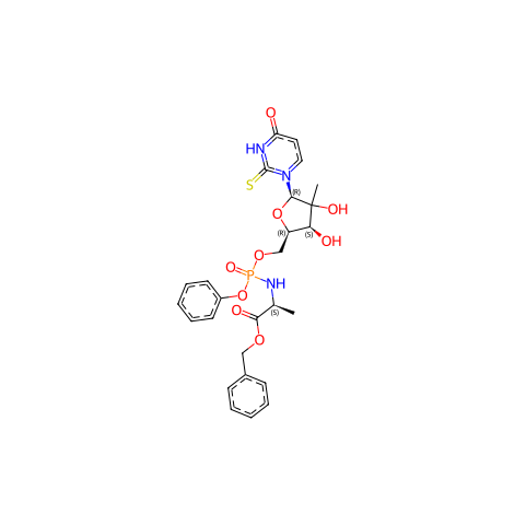 C[C@H](NP(=O)(OC[C@H]1O[C@@H](n2ccc(=O)[nH]c2=S)C(C)(O)[C@H]1O)Oc1ccccc1)C(=O)OCc1ccccc1